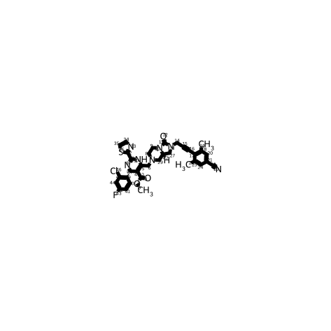 COC(=O)C1=C(CN2CCN3C(=O)N(CC#Cc4c(C)cc(C#N)cc4C)C[C@@H]3C2)NC(c2nccs2)=N[C@H]1c1ccc(F)cc1Cl